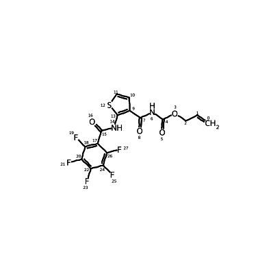 C=CCOC(=O)NC(=O)c1ccsc1NC(=O)c1c(F)c(F)c(F)c(F)c1F